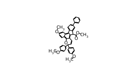 COC(=O)C1c2cc(-c3ccccc3)ccc2-c2c1c1c(c3ccc(OC)cc23)OC(c2ccc(OC)cc2)(c2ccc(OC)cc2)C=C1